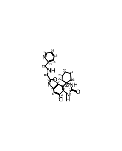 O=C1Nc2c(Cl)cc3nc(CNCc4ccccn4)oc3c2C2(CCCCC2)N1